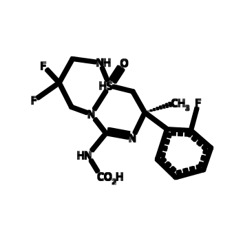 C[C@@]1(c2ccccc2F)C[SH]2(=O)NCC(F)(F)CN2C(NC(=O)O)=N1